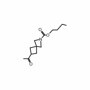 CCCCOC(=O)N1CC2(CC(C(C)=O)C2)C1